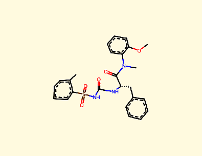 COc1ccccc1N(C)C(=O)[C@H](Cc1ccccc1)NC(=O)NS(=O)(=O)c1ccccc1C